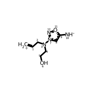 C=CCN(CCO)[n+]1cc([NH-])on1